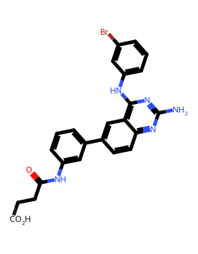 Nc1nc(Nc2cccc(Br)c2)c2cc(-c3cccc(NC(=O)CCC(=O)O)c3)ccc2n1